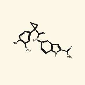 NC(=O)c1cc2cc(NC(=O)C3(c4ccc(O)c(O)c4)CC3)ccc2[nH]1